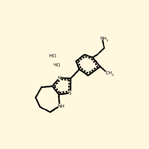 Cc1cc(-c2nc3c(s2)NCCCC3)ccc1CN.Cl.Cl